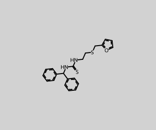 S=C(NCCSCc1ccco1)NC(c1ccccc1)c1ccccc1